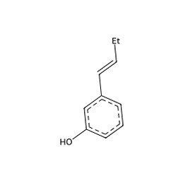 CCC=Cc1cccc(O)c1